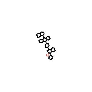 c1ccc2c(-c3c4ccccc4c(-c4ccc(-c5cc6oc7ccccc7c6c6ccccc56)cc4)c4ccccc34)cccc2c1